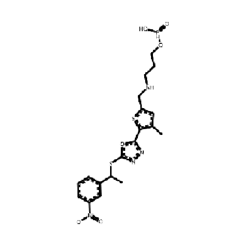 Cc1cc(CNCCCO[PH](=O)O)sc1-c1nnc(SC(C)c2cccc([N+](=O)[O-])c2)o1